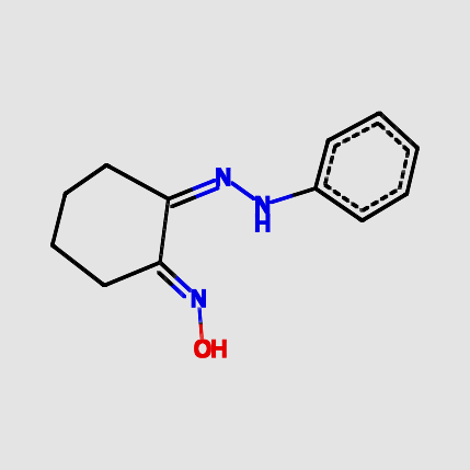 ON=C1CCCCC1=NNc1ccccc1